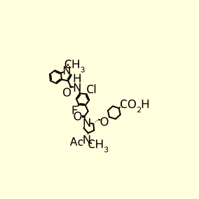 CC(=O)N(C)[C@H]1C[C@@H](CO[C@H]2CC[C@H](C(=O)O)CC2)N(C(=O)Cc2cc(Cl)c(NC(=O)c3cn(C)c4ccccc34)cc2F)C1